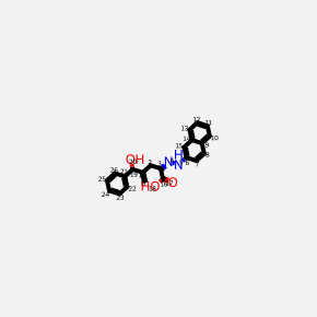 C=C(CC(=NNc1ccc2ccccc2c1)C(=O)O)C(O)c1ccccc1